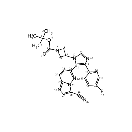 CC(C)(C)OC(=O)N1CC(n2cnc(-c3ccc(F)cc3)c2-c2ccc3ncc(C#N)n3n2)C1